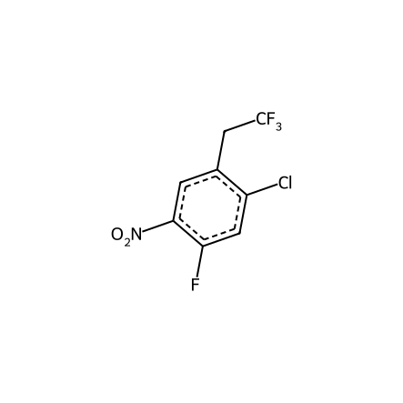 O=[N+]([O-])c1cc(CC(F)(F)F)c(Cl)cc1F